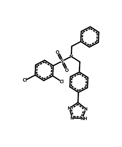 O=S(=O)(c1ccc(Cl)cc1Cl)N(Cc1ccccc1)Cc1ccc(-c2nn[nH]n2)cc1